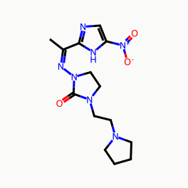 CC(=NN1CCN(CCN2CCCC2)C1=O)c1ncc([N+](=O)[O-])[nH]1